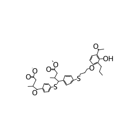 CCCc1c(OCCCSc2ccc(C(Sc3ccc(C(=O)C(C)CC(=O)OC)cc3)C(C)CC(=O)OC)cc2)ccc(C(C)=O)c1O